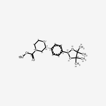 CC(C)(C)OC(=O)N1CCO[C@H](c2ccc(B3OC(C)(C)C(C)(C)O3)cc2)C1